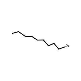 CCCCCCCCC[P]